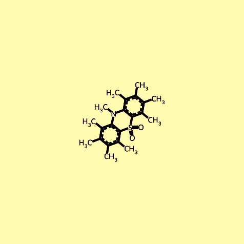 Cc1c(C)c(C)c2c(c1C)N(C)c1c(C)c(C)c(C)c(C)c1S2(=O)=O